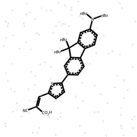 CCCCN(CCCC)c1ccc2c(c1)C(CCCC)(CCCC)c1cc(-c3ccc(/C=C(/C#N)C(=O)O)s3)ccc1-2